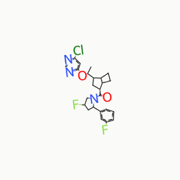 CC(Oc1cc(Cl)ncn1)C1C[C@H](C(=O)N2CC(F)CC2c2cccc(F)c2)C2CCC12